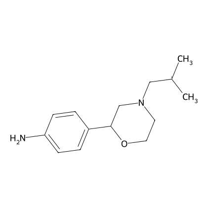 C[C](C)CN1CCOC(c2ccc(N)cc2)C1